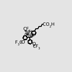 O=C(O)CCCCCc1ccc(CC(NC(=O)NCC(F)(F)F)(c2cccc(OC(F)(F)F)c2)c2cccc(OC(F)(F)F)c2)cc1